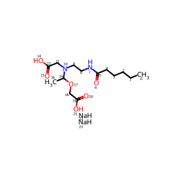 CCCCCC(=O)NCCN(CC(=O)O)C(C)OCC(=O)O.[NaH].[NaH]